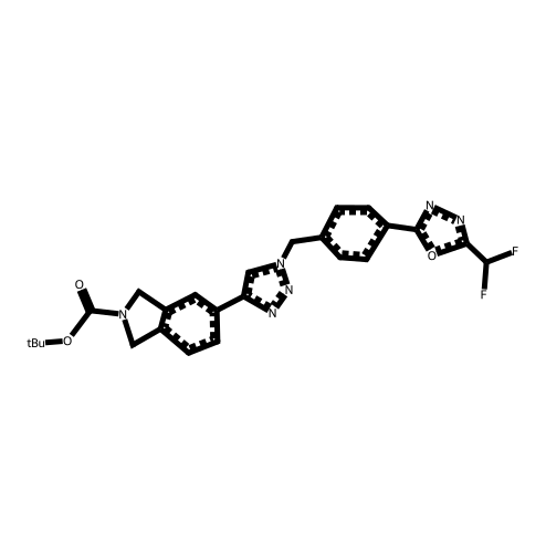 CC(C)(C)OC(=O)N1Cc2ccc(-c3cn(Cc4ccc(-c5nnc(C(F)F)o5)cc4)nn3)cc2C1